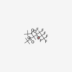 CC(C)(C)C(=O)C(C)(S(=O)(=O)C(C)(C)C)S(=O)(=O)C(F)(F)C(F)(F)C(F)(F)F